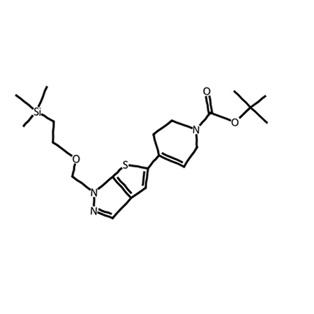 CC(C)(C)OC(=O)N1CC=C(c2cc3cnn(COCC[Si](C)(C)C)c3s2)CC1